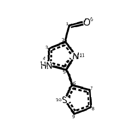 O=Cc1c[nH]c(-c2cccs2)n1